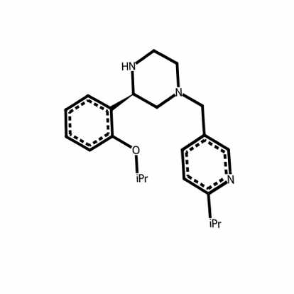 CC(C)Oc1ccccc1[C@@H]1CN(Cc2ccc(C(C)C)nc2)CCN1